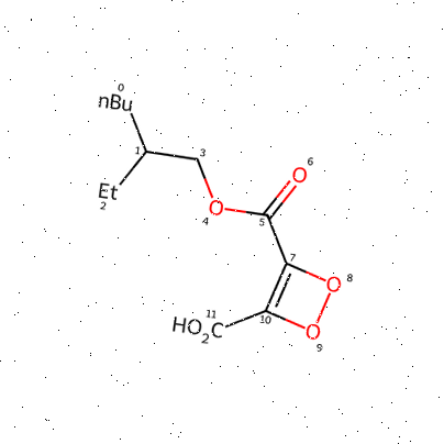 CCCCC(CC)COC(=O)c1ooc1C(=O)O